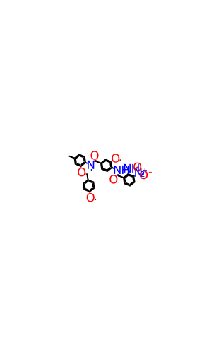 COc1ccc(COc2cc(C)ccc2N(C)C(=O)c2ccc(NC(=O)c3cccc([N+](=O)[O-])c3N)c(OC)c2)cc1